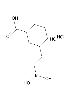 Cl.Cl.O=C(O)C1CCCC(CCB(O)O)C1